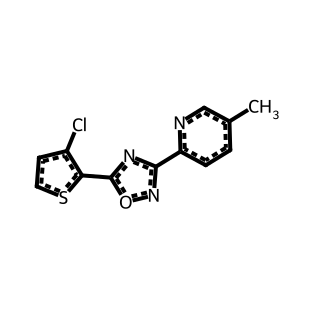 Cc1ccc(-c2noc(-c3sccc3Cl)n2)nc1